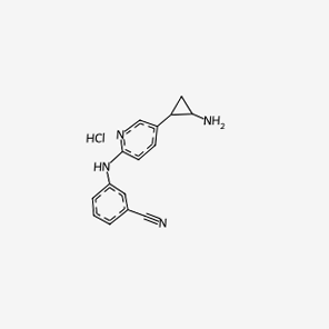 Cl.N#Cc1cccc(Nc2ccc(C3CC3N)cn2)c1